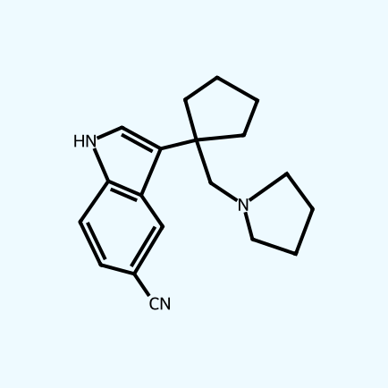 N#Cc1ccc2[nH]cc(C3(CN4CCCC4)CCCC3)c2c1